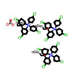 CCCCCCCCCCCCc1cc(Cl)ccc1[N+](c1ccc(Cl)cc1)(c1ccc(Cl)cc1)c1ccc(Cl)cc1.CCCCCCCCCCCCc1cc(Cl)ccc1[N+](c1ccc(Cl)cc1)(c1ccc(Cl)cc1)c1ccc(Cl)cc1.CCCCCCCCCCCCc1cc(Cl)ccc1[N+](c1ccc(Cl)cc1)(c1ccc(Cl)cc1)c1ccc(Cl)cc1.[O-]B([O-])[O-]